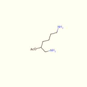 CC(=O)OC(CN)CCCCN